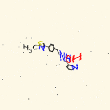 Cc1nc(-c2ccc(CCNC[C@H](O)c3cccnc3)cc2)cs1